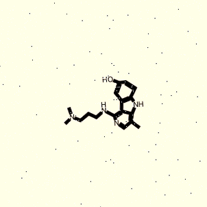 Cc1cnc(NCCCN(C)C)c2c1[nH]c1ccc(O)cc12